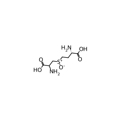 NC(C[S+]([O-])CC[C@H](N)C(=O)O)C(=O)O